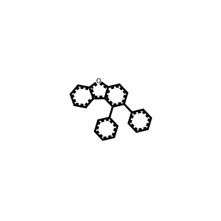 c1ccc(-c2ccc3oc4ccccc4c3c2-c2ccccc2)cc1